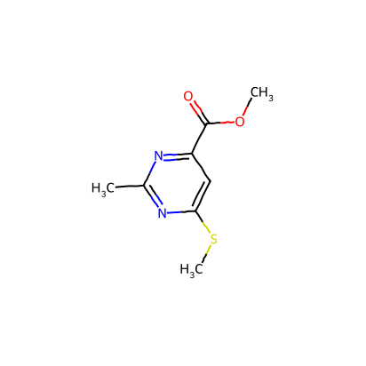 COC(=O)c1cc(SC)nc(C)n1